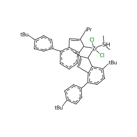 CC1=Cc2c(-c3ccc(C(C)(C)C)cc3)ccc(C(C)(C)C)c2[CH]1[Zr]([Cl])([Cl])([CH]1C(C(C)C)=Cc2c(-c3ccc(C(C)(C)C)cc3)cccc21)[SiH](C)C